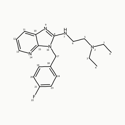 CCN(CC)CCNc1nc2cccnc2n1Cc1ccc(F)cc1